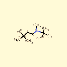 CCCC(C)(C)N(C)CCC(C)(C)C(C)C